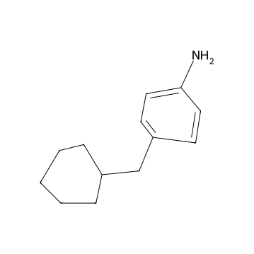 Nc1ccc(CC2CCCCC2)cc1